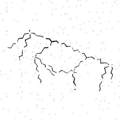 C[Si](CCCOO)(CCCOCCO)CCCOCC(COCCOCCOCC(COCCC[Si](C)(CCCOCCO)CCCOCCO)OCCC[Si](C)(CCCOCCO)CCCOCCO)OCCC[Si](C)(CCCOO)CCCOCCO